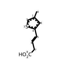 Cc1csc(/C=C/CC(=O)O)c1